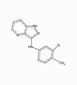 Cc1ccc(Nc2n[nH]c3cccnc23)cc1Cl